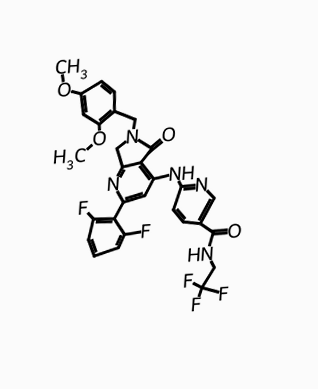 COc1ccc(CN2Cc3nc(-c4c(F)cccc4F)cc(Nc4ccc(C(=O)NCC(F)(F)F)cn4)c3C2=O)c(OC)c1